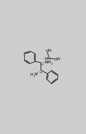 CCCNCCC.N[C@@H](c1ccccc1)[C@@H](N)c1ccccc1